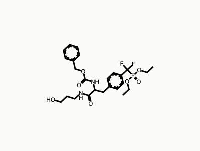 CCOP(=O)(OCC)C(F)(F)c1ccc(CC(NC(=O)OCc2ccccc2)C(=O)NCCCO)cc1